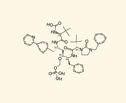 CC(C)(C)[C@H](NC(=O)O)C(=O)N[C@@H](Cc1ccc(-c2ccccn2)cc1)C[C@H](OCOP(=O)(O)O)[C@H](Cc1ccccc1)NC(=O)[C@@H](N1CCN(Cc2ccccc2)C1=O)C(C)(C)C